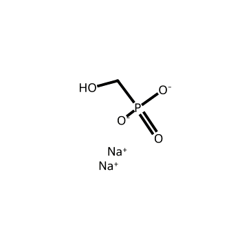 O=P([O-])([O-])CO.[Na+].[Na+]